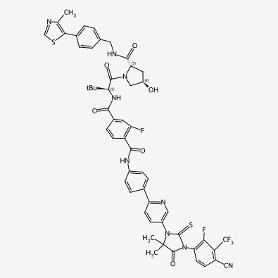 Cc1ncsc1-c1ccc(CNC(=O)[C@@H]2C[C@@H](O)CN2C(=O)[C@@H](NC(=O)c2ccc(C(=O)Nc3ccc(-c4ccc(N5C(=S)N(c6ccc(C#N)c(C(F)(F)F)c6F)C(=O)C5(C)C)cn4)cc3)c(F)c2)C(C)(C)C)cc1